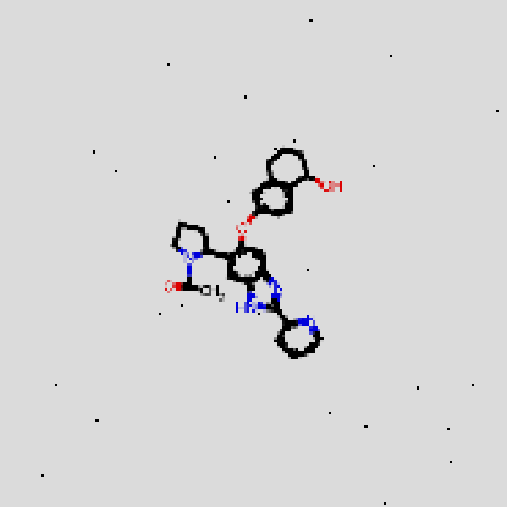 CC(=O)N1CCCC1c1cc2[nH]c(-c3ccccn3)nc2cc1Oc1ccc2c(c1)CCCC2O